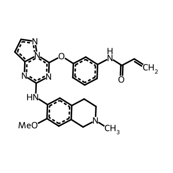 C=CC(=O)Nc1cccc(Oc2nc(Nc3cc4c(cc3OC)CN(C)CC4)nc3ccnn23)c1